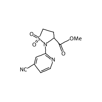 COC(=O)C1CCS(=O)(=O)N1c1cc(C#N)ccn1